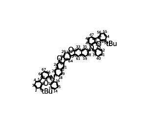 CC(C)(C)c1cccc2c1oc1c(N(c3ccccc3)c3ccc4cc5c(cc4c3)oc3cc4oc6cc7cc(N(c8ccccc8)c8cccc9c8oc8c(C(C)(C)C)cccc89)ccc7cc6c4cc35)cccc12